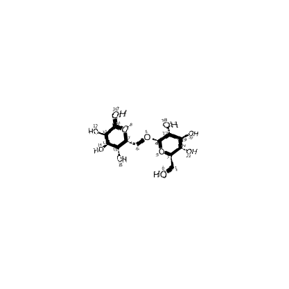 OC[C@H]1O[C@H](OC[C@H]2OC(O)[C@H](O)[C@H](O)[C@H]2O)[C@H](O)[C@@H](O)[C@@H]1O